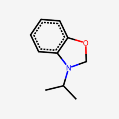 CC(C)N1COc2ccccc21